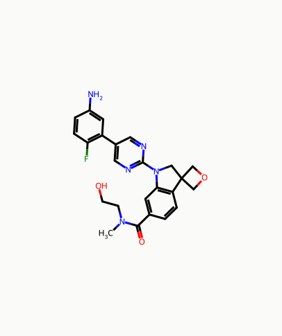 CN(CCO)C(=O)c1ccc2c(c1)N(c1ncc(-c3cc(N)ccc3F)cn1)CC21COC1